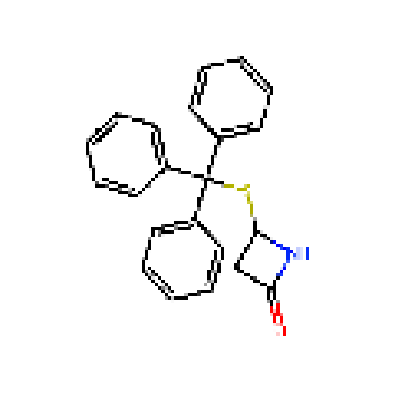 O=C1CC(SC(c2ccccc2)(c2ccccc2)c2ccccc2)N1